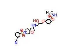 CNS(=O)(=O)c1cccc(OC[C@@H](O)CNC2COC3(CCN(S(=O)(=O)c4cccc(C#N)c4)CC3)C2)c1